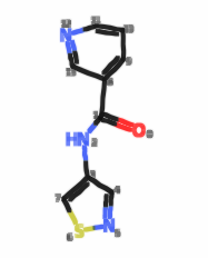 O=C(Nc1cnsc1)c1cccnc1